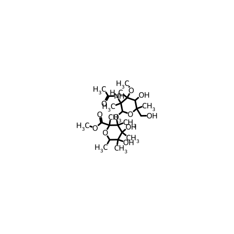 COC(=O)C1(C)OC(C)C(C)(O)C(C)(O)C1(C)OC1OC(C)(CO)C(O)C(C)(OC)C1(C)NC(C)=O